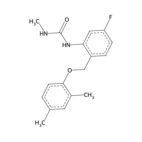 CNC(=O)Nc1cc(F)ccc1COc1ccc(C)cc1C